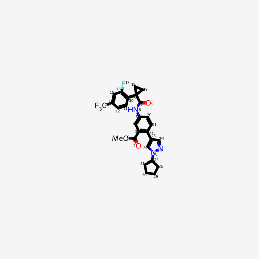 COC(=O)c1cc(NC(=O)C2(c3ccc(C(F)(F)F)cc3F)CC2)ccc1-c1cnn(C2CCCC2)c1